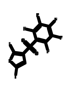 O=S(=O)(c1cc(I)sc1I)c1c(F)c(F)c(F)c(F)c1F